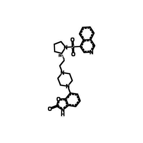 O=c1[nH]c2cccc(N3CCN(CC[C@@H]4CCCN4S(=O)(=O)c4cncc5ccccc45)CC3)c2o1